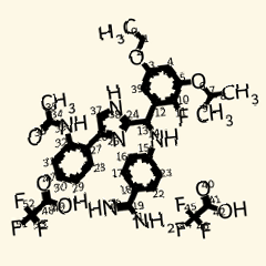 CCOc1cc(OC(C)C)c(F)c(C(Nc2ccc(C(=N)N)cc2)c2nc(-c3ccccc3NC(C)=O)c[nH]2)c1.O=C(O)C(F)(F)F.O=C(O)C(F)(F)F